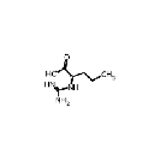 CCC[C](NC(=N)N)C(=O)O